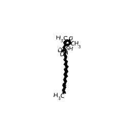 CCCCCCCCCCCCCCCCCCC(S)(CC1=CC(C)C(=O)C(C)=C1)C(=O)O